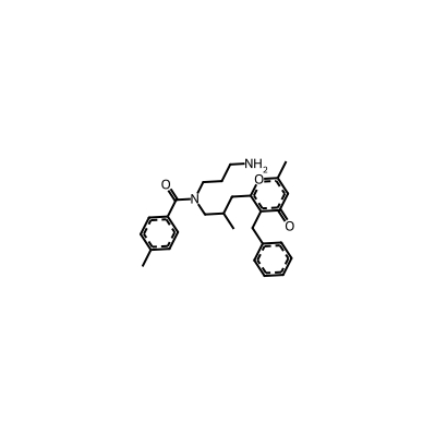 Cc1ccc(C(=O)N(CCCN)CC(C)Cc2oc(C)cc(=O)c2Cc2ccccc2)cc1